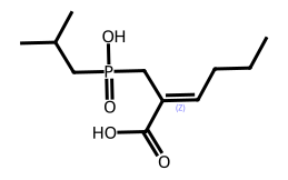 CCC/C=C(\CP(=O)(O)CC(C)C)C(=O)O